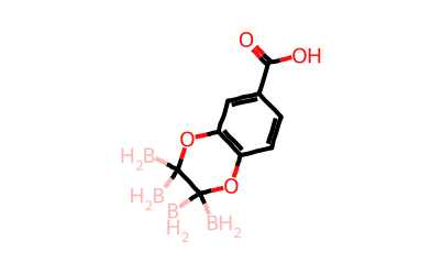 BC1(B)Oc2ccc(C(=O)O)cc2OC1(B)B